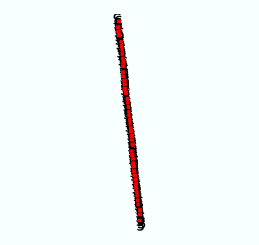 S=S=S=S=S=S=S=S=S=S=S=S=S=S=S=S=S=S=S=S=S=S=S=S=S=S=S=S=S=S=S=S=S=S=S=S=S=S=S=S=S=S=S=S=S=S=S=S=S=S=S=S=S=S=S=S=S=S=S=S=S=S=S=S=S=S=S=S=S=S=S=S=S=S=S=S=S=S=S=S=S=S=S=S=S=S=S=S=S=S=S=S=S=S=S=S=S=S=S=S=S